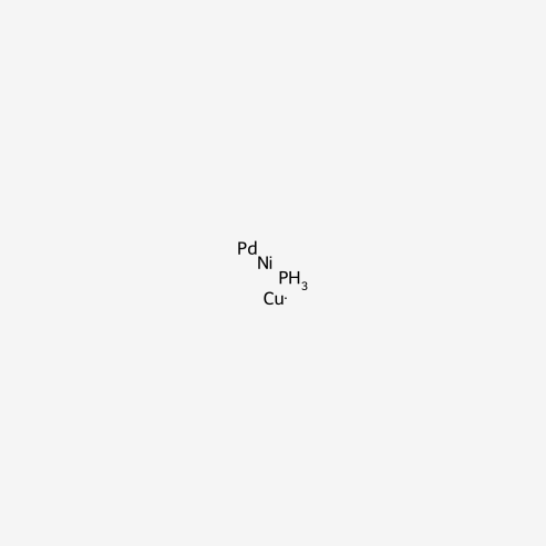 P.[Cu].[Ni].[Pd]